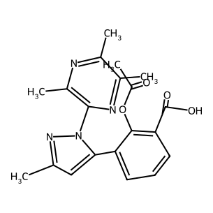 CC(=O)Oc1c(C(=O)O)cccc1-c1cc(C)nn1-c1nc(C)c(C)nc1C